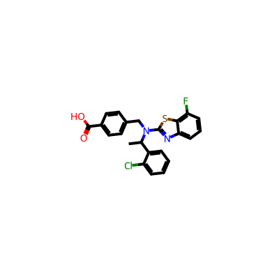 CC(c1ccccc1Cl)N(Cc1ccc(C(=O)O)cc1)c1nc2cccc(F)c2s1